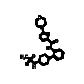 CS(=O)(=O)NC1CCN(c2ccccc2NC(=O)c2csc(N3CCOCC3)n2)CC1